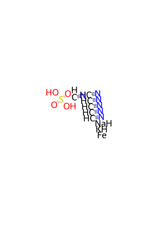 C#N.C#N.C#N.C#N.C#N.C#N.O=S(=O)(O)O.[Fe].[KH].[NaH]